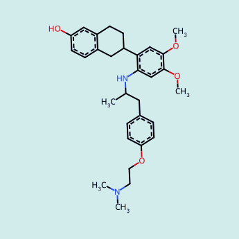 COc1cc(NC(C)Cc2ccc(OCCN(C)C)cc2)c(C2CCc3cc(O)ccc3C2)cc1OC